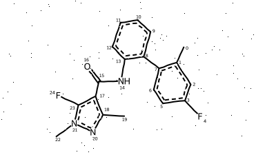 Cc1cc(F)ccc1-c1ccccc1NC(=O)c1c(C)nn(C)c1F